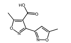 Cc1cc(-c2noc(C)c2C(=O)O)no1